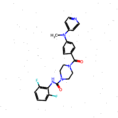 CN(c1ccncc1)c1ccc(C(=O)N2CCN(C(=O)Nc3c(F)cccc3F)CC2)cc1